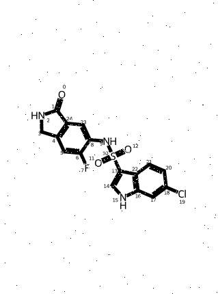 O=C1NCc2cc(F)c(NS(=O)(=O)c3c[nH]c4cc(Cl)ccc34)cc21